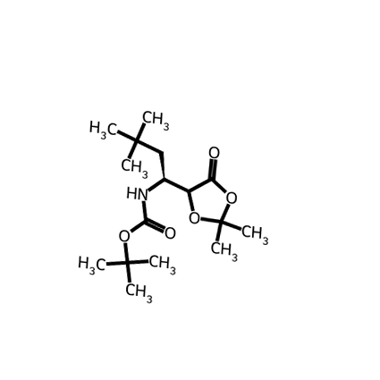 CC(C)(C)C[C@H](NC(=O)OC(C)(C)C)C1OC(C)(C)OC1=O